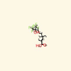 C/C(=C\C(C)(C)CCCC(O)(C(F)(F)F)C(F)(F)F)C(=O)O